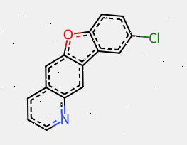 Clc1ccc2oc3cc4cccnc4cc3c2c1